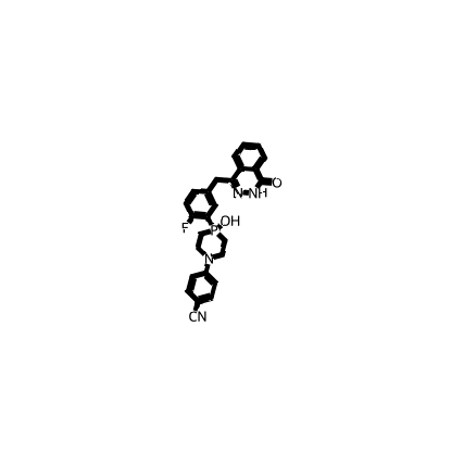 N#Cc1ccc(N2CC[P](O)(c3cc(Cc4n[nH]c(=O)c5ccccc45)ccc3F)CC2)cc1